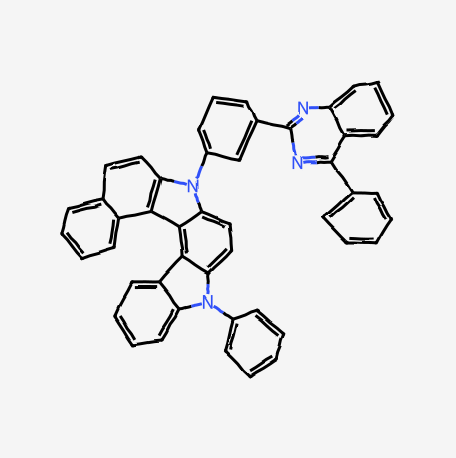 c1ccc(-c2nc(-c3cccc(-n4c5ccc6ccccc6c5c5c6c7ccccc7n(-c7ccccc7)c6ccc54)c3)nc3ccccc23)cc1